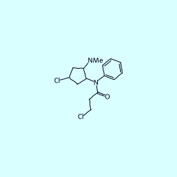 CNC1CC(Cl)CC1N(C(=O)CCCl)c1ccccc1